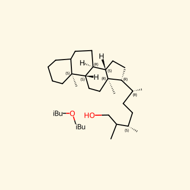 CC(CO)[C@@H](C)CC[C@@H](C)[C@H]1CC[C@H]2[C@@H]3CCC4CCCC[C@]4(C)[C@H]3CC[C@]12C.CCC(C)OC(C)CC